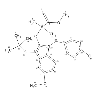 COC(=O)C(C)(C)Cc1c(SC(C)(C)C)c2cc(OC)ccc2n1Cc1ccc(Cl)cc1